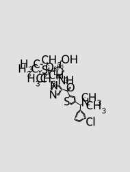 CC(C)[Si](O[C@H]1C[C@H](Nc2ncncc2C(=O)c2cc(C(c3cccc(Cl)c3)N(C)C)cs2)C[C@@H]1CO)(C(C)C)C(C)C